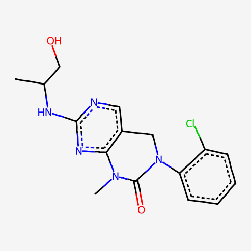 CC(CO)Nc1ncc2c(n1)N(C)C(=O)N(c1ccccc1Cl)C2